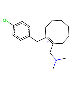 CN(C)C/C1=C(\Cc2ccc(Cl)cc2)CCCCCC1